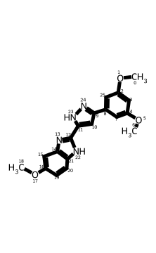 COc1cc(OC)cc(-c2cc(-c3nc4cc(OC)ccc4[nH]3)[nH]n2)c1